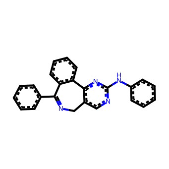 c1ccc(Nc2ncc3c(n2)-c2ccccc2C(c2ccccc2)=NC3)cc1